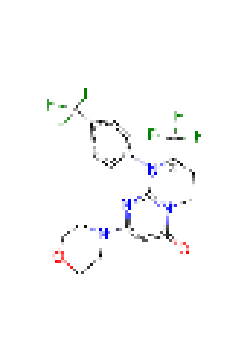 O=c1cc(N2CCOCC2)nc2n1CC[C@@H](C(F)(F)F)N2c1ccc(C(F)(F)F)cc1